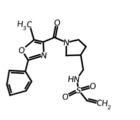 C=CS(=O)(=O)NCC1CCN(C(=O)c2nc(-c3ccccc3)oc2C)C1